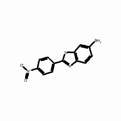 Bc1ccc2nc(-c3ccc([N+](=O)[O-])cc3)sc2c1